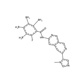 Bc1c(B)c(B)c(C(=O)Nc2cc3cc(-c4cncn4C)ncc3cn2)c(F)c1B